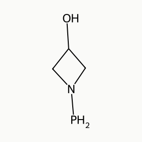 OC1CN(P)C1